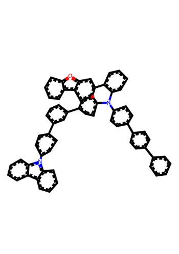 c1ccc(-c2ccc(-c3ccc(N(c4ccc(-c5cccc(-c6ccc(-n7c8ccccc8c8ccccc87)cc6)c5)cc4)c4ccccc4-c4ccc5c(c4)oc4ccccc45)cc3)cc2)cc1